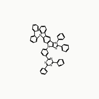 c1ccc(-c2nc(-c3ccccc3)nc(-c3cccc(-n4c5cc6c(cc5c5c4nc(-c4ccccc4)n5-c4ccccc4)c4ccccc4n6-c4ccccc4-c4ccccc4)c3)n2)cc1